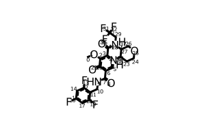 COc1c2n(cc(C(=O)NCc3c(F)cc(F)cc3F)c1=O)[C@@H]1CCOC[C@@H]1N(CC(F)(F)F)C2=O